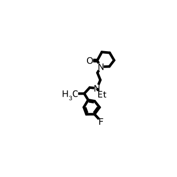 CCN(CCN1CCCCC1=O)CC(C)c1ccc(F)cc1